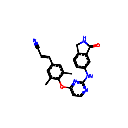 Cc1cc(/C=C/C#N)cc(C)c1Oc1ccnc(Nc2ccc3c(c2)C(=O)NC3)n1